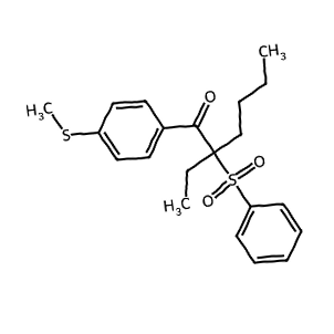 CCCCC(CC)(C(=O)c1ccc(SC)cc1)S(=O)(=O)c1ccccc1